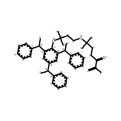 C=C(C)C(=O)CCC(C)(C)OCCC(C)(C)Oc1c(C(C)c2ccccc2)cc(C(C)c2ccccc2)cc1C(C)c1ccccc1